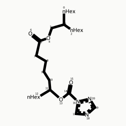 CCCCCCC(CCCCCC)COC(=O)CCCCC(CCCCCC)OC(=O)n1cncn1